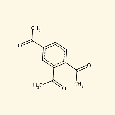 CC(=O)c1ccc(C(C)=O)c(C(C)=O)c1